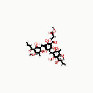 CCCC(=O)c1c(O)c(Cc2c(O)c(Cc3c(O)c(C)c(OC)c(C(=O)CCC)c3O)c(O)c(C(=O)CCC(=O)OC)c2O)c(O)c(C)c1OC